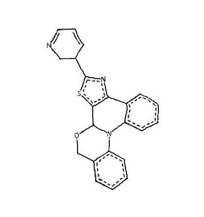 C1=CC(c2nc3c(s2)C2OCc4ccccc4N2c2ccccc2-3)CN=C1